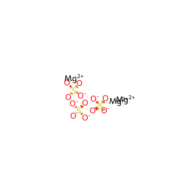 O=S(=O)([O-])[O-].O=S(=O)([O-])[O-].O=S(=O)([O-])[O-].[Mg+2].[Mg+2].[Mg+2]